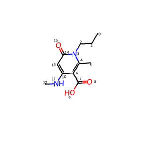 CCCn1c(C)c(C(=O)O)c(NC)cc1=O